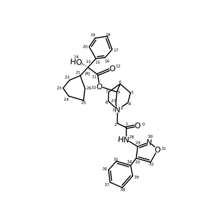 O=C(C[N+]12CCC(CC1)C(OC(=O)[C@](O)(c1ccccc1)C1CCCCC1)C2)Nc1nocc1-c1ccccc1